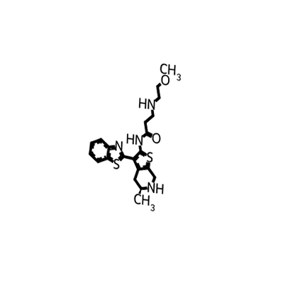 COCCNCCC(=O)Nc1sc2c(c1-c1nc3ccccc3s1)C[C@H](C)NC2